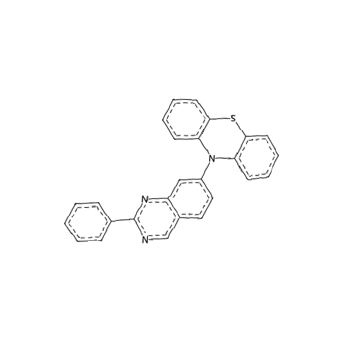 c1ccc(-c2ncc3ccc(N4c5ccccc5Sc5ccccc54)cc3n2)cc1